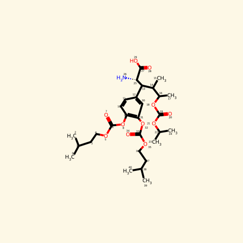 CC(C)CCOC(=O)Oc1ccc(C(C(C)C(C)OC(=O)OC(C)C)[C@H](N)C(=O)O)cc1OC(=O)OCCC(C)C